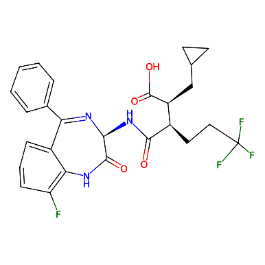 O=C(O)[C@@H](CC1CC1)[C@@H](CCC(F)(F)F)C(=O)N[C@@H]1N=C(c2ccccc2)c2cccc(F)c2NC1=O